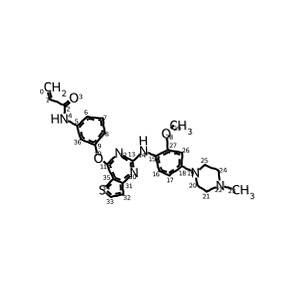 C=CC(=O)Nc1cccc(Oc2nc(Nc3ccc(N4CCN(C)CC4)cc3OC)nc3ccsc23)c1